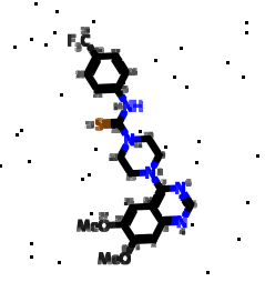 COc1cc2ncnc(N3CCN(C(=S)Nc4ccc(C(F)(F)F)cc4)CC3)c2cc1OC